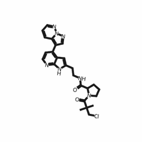 CC(C)(CCl)C(=O)N1CCCC1C(=O)NCCc1cc2c(-c3cnn4ncccc34)ccnc2[nH]1